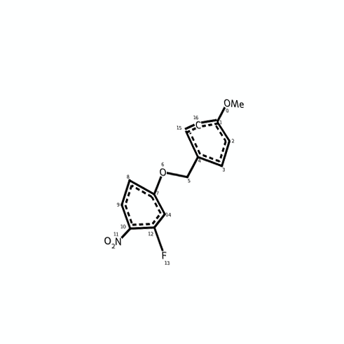 COc1ccc(COc2ccc([N+](=O)[O-])c(F)c2)cc1